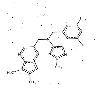 Cc1cc2cc(CN(Cc3cc(F)cc(C(F)(F)F)c3)c3nnn(C)n3)[c]nc2n1C